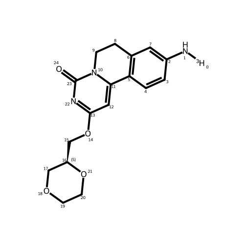 [3H]Nc1ccc2c(c1)CCn1c-2cc(OC[C@@H]2COCCO2)nc1=O